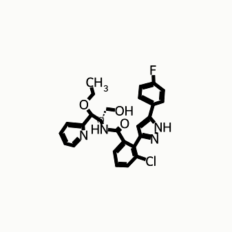 CCOC(c1ccccn1)[C@H](CO)NC(=O)c1cccc(Cl)c1-c1cc(-c2ccc(F)cc2)[nH]n1